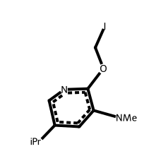 CNc1cc(C(C)C)cnc1OCI